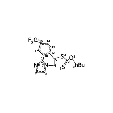 CCCCOC(=S)SC(Cn1ccnc1)c1ccc(C(F)(F)F)cc1